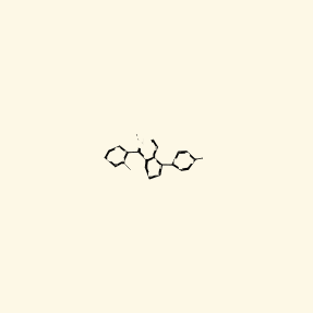 Cc1ccccc1-c1c2cccc(-c3ccc(F)cc3)c2cc[n+]1C